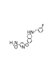 NC(=O)c1ccc(Oc2ccc3c(c2)CCC(NCCc2cccc(F)c2)C3)nc1